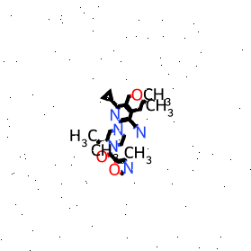 Cc1ncoc1C(=O)N1CCN(c2nc(C3CC3)c3c(c2C#N)CC(C)(C)OC3)C[C@H]1C(C)C